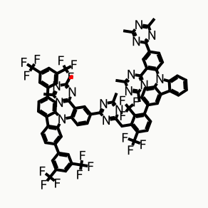 Cc1nc(C)nc(-c2ccc(-n3c4ccccc4c4cc(-c5ccc(C(F)(F)F)c(Cc6nc(C)nc(-c7ccc(-n8c9cc(-c%10cc(C(F)(F)F)cc(C(F)(F)F)c%10)ccc9c9ccc(-c%10cc(C(F)(F)F)cc(C(F)(F)F)c%10)cc98)c(-c8nc(C)nc(C)n8)c7)n6)c5C(F)(F)F)ccc43)c(-c3nc(C)nc(C)n3)c2)n1